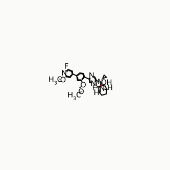 COCOc1cc(-c2cc(F)nc(OC)c2)ccc1-c1cnc(N(C2CC2)[C@H]2C[C@@H]3CC[C@H]([C@H]2F)N3C(=O)O)cn1